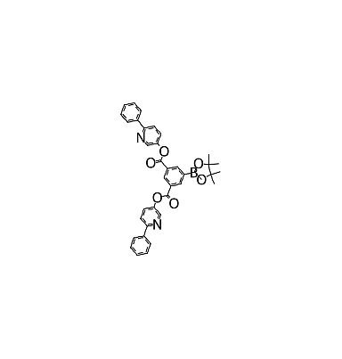 CC1(C)OB(c2cc(C(=O)Oc3ccc(-c4ccccc4)nc3)cc(C(=O)Oc3ccc(-c4ccccc4)nc3)c2)OC1(C)C